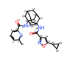 Cc1cccc(C(=O)NC23CC4CC(CC(NC(=O)c5cc(C6CC6)on5)(C4)C2)C3)n1